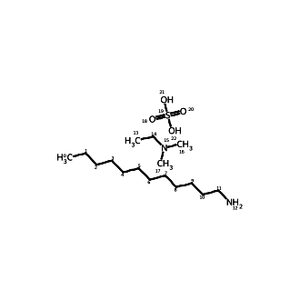 CCCCCCCCCCCCN.CCN(C)C.O=S(=O)(O)O